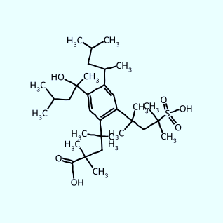 CC(C)CC(C)c1cc(C(C)(C)CC(C)(C)S(=O)(=O)O)c(C(C)(C)CC(C)(C)C(=O)O)cc1C(C)(O)CC(C)C